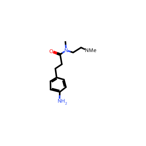 CNCCN(C)C(=O)CCc1ccc(N)cc1